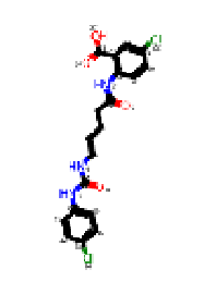 O=C(CCCCNC(=O)Nc1ccc(Cl)cc1)Nc1ccc(Cl)cc1C(=O)O